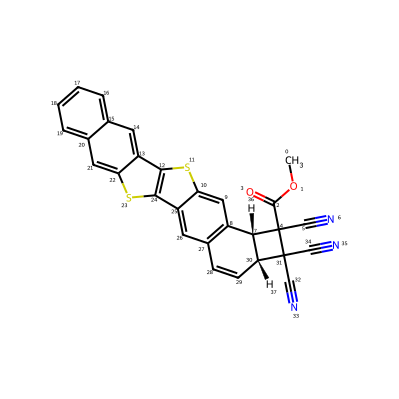 COC(=O)C1(C#N)[C@H]2c3cc4sc5c6cc7ccccc7cc6sc5c4cc3C=C[C@H]2C1(C#N)C#N